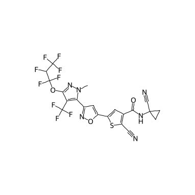 Cn1nc(OC(F)(F)C(F)C(F)(F)F)c(C(F)(F)F)c1-c1cc(-c2cc(C(=O)NC3(C#N)CC3)c(C#N)s2)on1